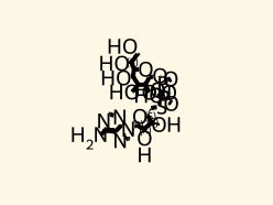 Nc1ncnc2c1ncn2[C@@H]1O[C@H](CSP(=O)(O)OP(=O)(O)OC2OC([C@@H](O)CO)C(O)C(O)C2O)[C@@H](O)[C@H]1O